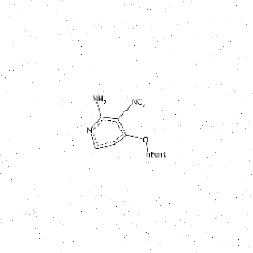 CCCCCOc1ccnc(N)c1[N+](=O)[O-]